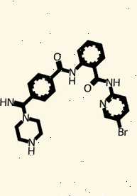 N=C(c1ccc(C(=O)Nc2ccccc2C(=O)Nc2ccc(Br)cn2)cc1)N1CCNCC1